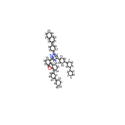 c1ccc(-c2cccc(-c3ccc(-c4nc(-c5ccc(-c6ccc7ccccc7c6)cc5)nc(-c5cccc6oc7c(-c8cccc(-c9ccccc9)c8)cccc7c56)n4)cc3)c2)cc1